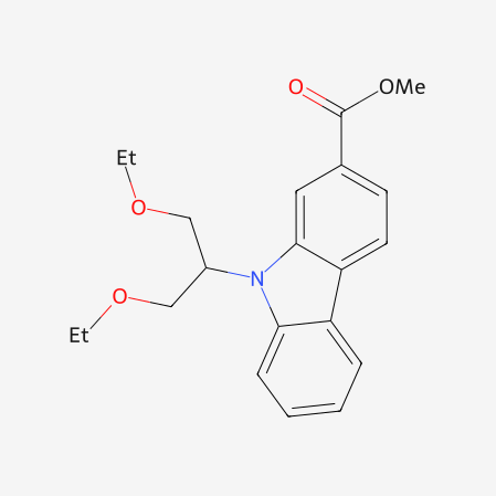 CCOCC(COCC)n1c2ccccc2c2ccc(C(=O)OC)cc21